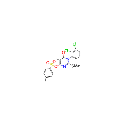 CSc1nc(OS(=O)(=O)c2ccc(C)cc2)c(C)c(=O)n1-c1cccc(Cl)c1Cl